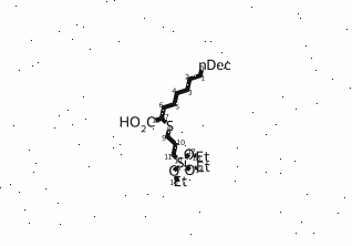 CCCCCCCCCCCCCCCCC(SCCC[Si](OCC)(OCC)OCC)C(=O)O